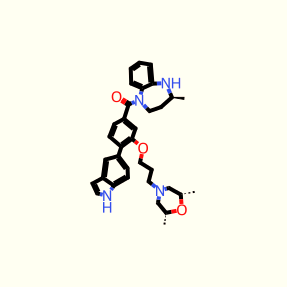 C[C@@H]1CN(CCCOc2cc(C(=O)N3CC[C@H](C)Nc4ccccc43)ccc2-c2ccc3[nH]ccc3c2)C[C@H](C)O1